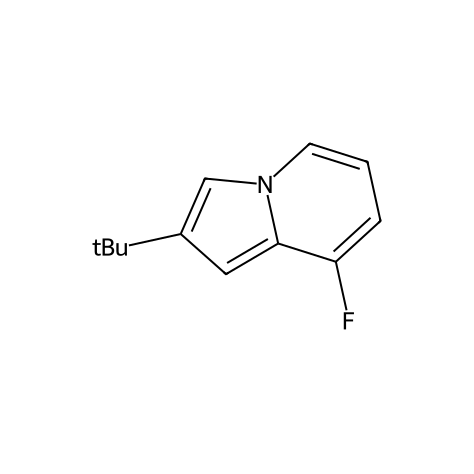 CC(C)(C)c1cc2c(F)cccn2c1